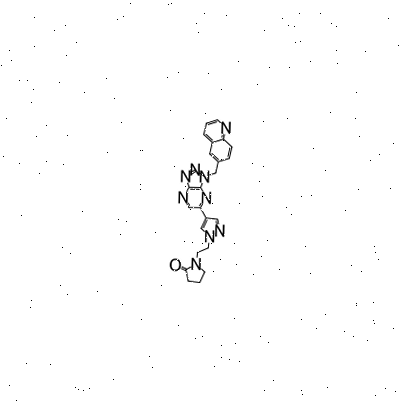 O=C1CCCN1CCn1cc(-c2cnc3nnn(Cc4ccc5ncccc5c4)c3n2)cn1